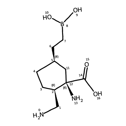 NC[C@H]1CC[C@@H](CCB(O)O)C[C@]1(N)C(=O)O